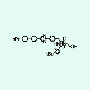 CCCC1CCC(C2CC=C(c3cnc(-c4ccc(CC(NC(=O)c5ccc(C(C)(C)C)s5)C(=O)NCCO)cc4)nc3)CC2)CC1